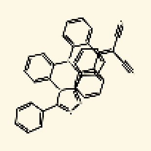 N#CC(C#N)=C1c2ccccc2N(c2ccccc2-n2c(-c3ccccc3)nnc2-c2ccccc2)c2ccccc21